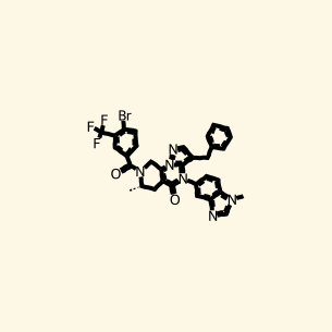 C[C@H]1Cc2c(n3ncc(Cc4ccccc4)c3n(-c3ccc4c(c3)ncn4C)c2=O)CN1C(=O)c1ccc(Br)c(C(F)(F)F)c1